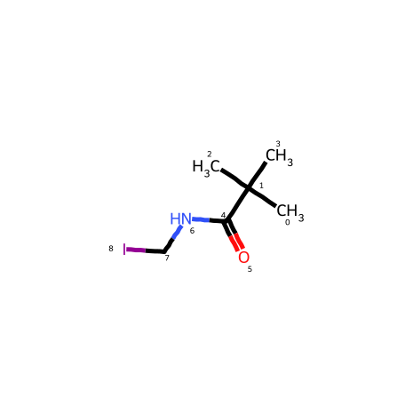 CC(C)(C)C(=O)NCI